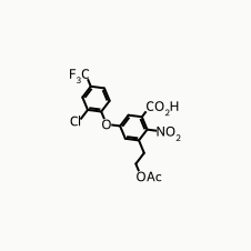 CC(=O)OCCc1cc(Oc2ccc(C(F)(F)F)cc2Cl)cc(C(=O)O)c1[N+](=O)[O-]